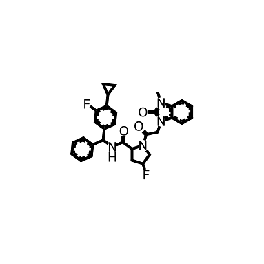 Cn1c(=O)n(CC(=O)N2CC(F)CC2C(=O)NC(c2ccccc2)c2ccc(C3CC3)c(F)c2)c2ccccc21